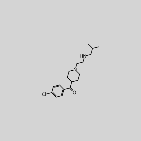 CC(C)CNCCN1CCC(C(=O)c2ccc(Cl)cc2)CC1